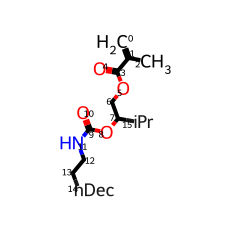 C=C(C)C(=O)OCC(OC(=O)NCCCCCCCCCCCC)C(C)C